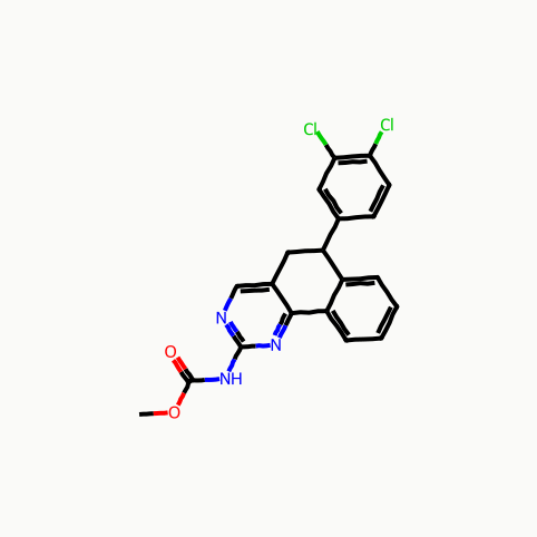 COC(=O)Nc1ncc2c(n1)-c1ccccc1C(c1ccc(Cl)c(Cl)c1)C2